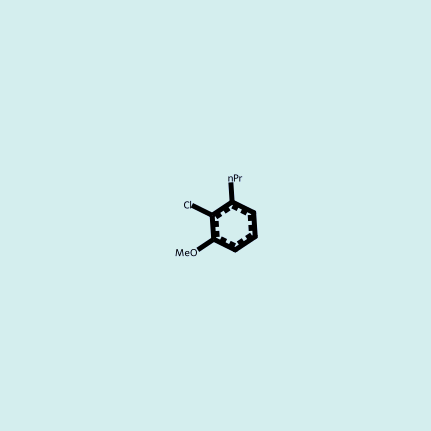 CCCc1cccc(OC)c1Cl